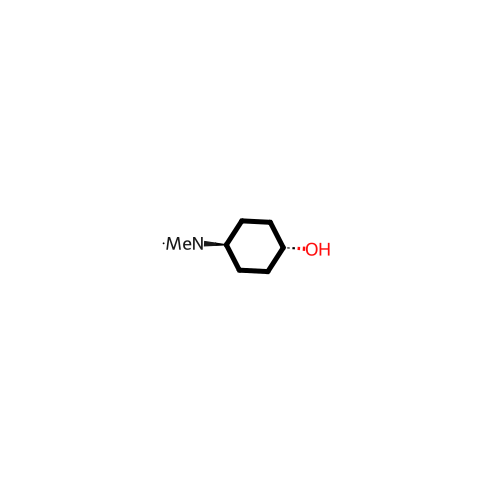 C[N][C@H]1CC[C@H](O)CC1